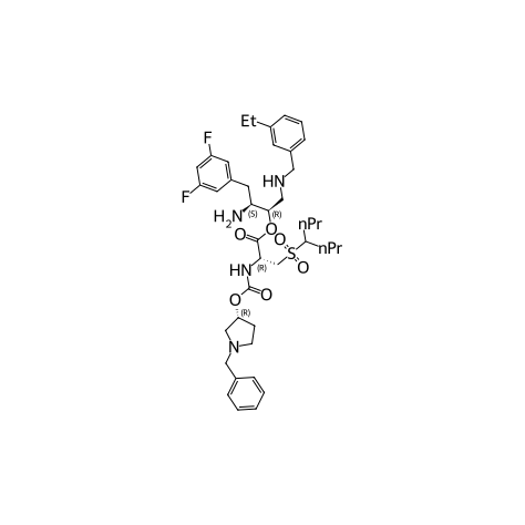 CCCC(CCC)S(=O)(=O)C[C@H](NC(=O)O[C@@H]1CCN(Cc2ccccc2)C1)C(=O)O[C@H](CNCc1cccc(CC)c1)[C@@H](N)Cc1cc(F)cc(F)c1